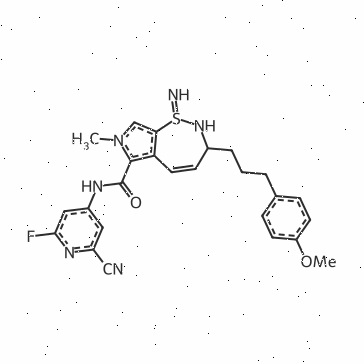 COc1ccc(CCCC2C=Cc3c(cn(C)c3C(=O)Nc3cc(F)nc(C#N)c3)S(=N)N2)cc1